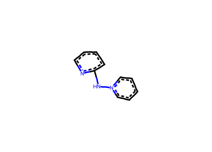 c1cc[n+](Nc2ccccn2)cc1